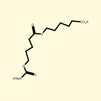 CCCCCCCC(=O)OCCCCC(=O)OCCCCCC(=O)O